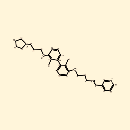 Cc1c(OCCCNCc2cccnc2)cccc1-c1cccc(OCCCN2CCCC2)c1C